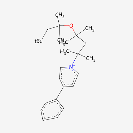 CC(C)(C)CC(C)(C)OC(C)(C)CC(C)(C)[n+]1ccc(-c2ccccc2)cc1